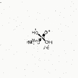 O=S(=O)(O)O.[Fe].[Mn].[Ni]